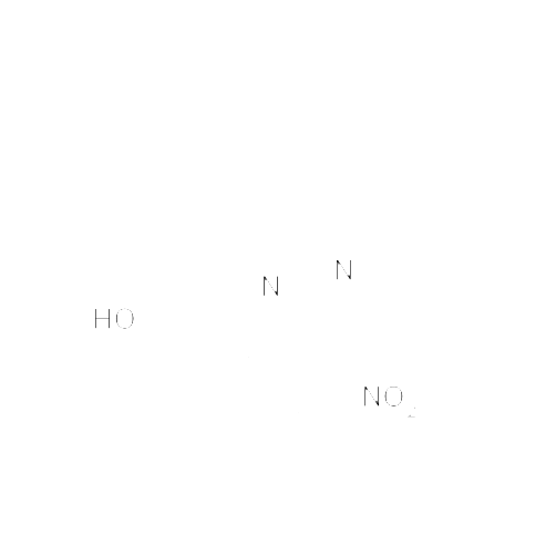 O=[N+]([O-])c1cccc(O)c1N=Nc1ccccc1